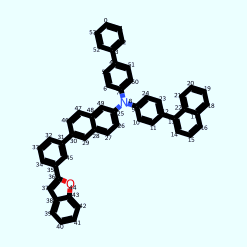 c1ccc(-c2ccc(N(c3ccc(-c4cccc5ccccc45)cc3)c3ccc4cc(-c5cccc(-c6cc7ccccc7o6)c5)ccc4c3)cc2)cc1